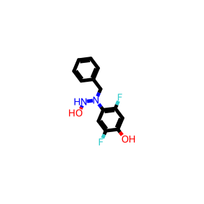 ONN(Cc1ccccc1)c1cc(F)c(O)cc1F